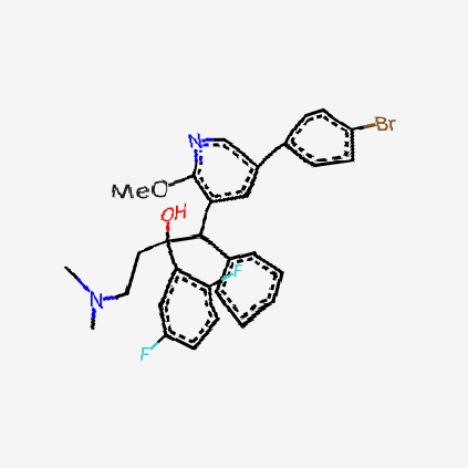 COc1ncc(-c2ccc(Br)cc2)cc1C(c1ccccc1)C(O)(CCN(C)C)c1cc(F)ccc1F